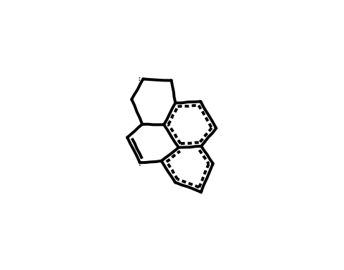 [C]1Cc2ccc3cccc4c3c2C(C=[C]4)C1